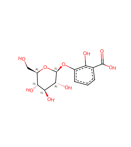 O=C(O)c1cccc(O[C@@H]2O[C@H](CO)[C@@H](O)[C@H](O)[C@H]2O)c1O